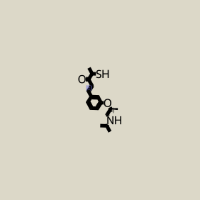 CC(C)NC[C@H](C)Oc1cccc(/C=C/C(=O)C(C)S)c1